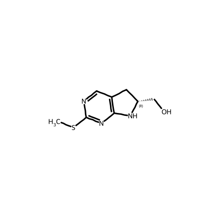 CSc1ncc2c(n1)N[C@@H](CO)C2